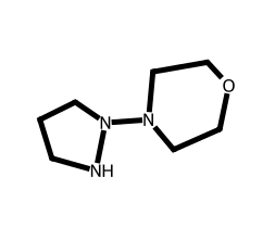 C1CNN(N2CCOCC2)C1